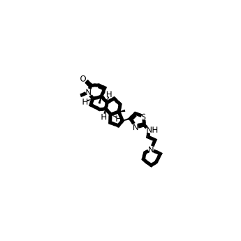 CN1C(=O)C=C[C@]2(C)[C@H]3CC[C@]4(C)[C@@H](c5csc(NCCN6CCCCC6)n5)CC[C@H]4[C@@H]3CC[C@@H]12